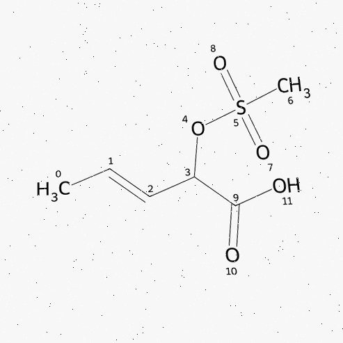 CC=CC(OS(C)(=O)=O)C(=O)O